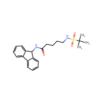 CC(C)(C)S(=O)(=O)NCCCCC(=O)NC1c2ccccc2-c2ccccc21